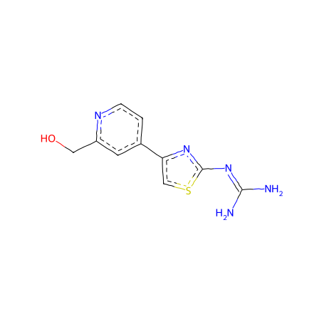 NC(N)=Nc1nc(-c2ccnc(CO)c2)cs1